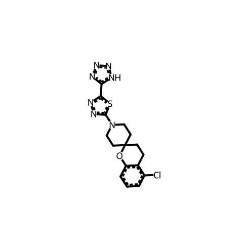 Clc1cccc2c1CCC1(CCN(c3nnc(-c4nnn[nH]4)s3)CC1)O2